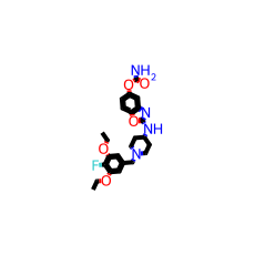 CCOc1cc(CN2CCC(Nc3nc4cc(OC(N)=O)ccc4o3)CC2)cc(OCC)c1F